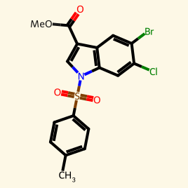 COC(=O)c1cn(S(=O)(=O)c2ccc(C)cc2)c2cc(Cl)c(Br)cc12